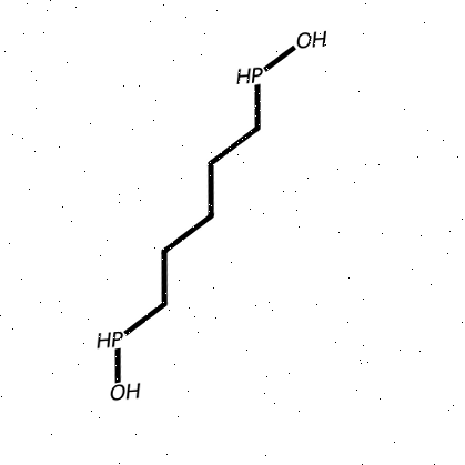 OPCCCCCPO